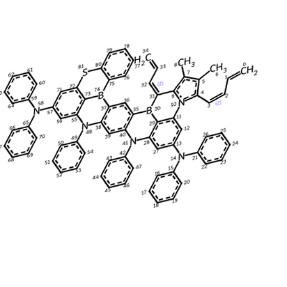 C=C/C=C\c1c(C)c(C)c2n1-c1cc(N(c3ccccc3)c3ccccc3)cc3c1B(/C2=C/C=C)c1cc2c(cc1N3c1ccccc1)N(c1ccccc1)c1cc(N(c3ccccc3)c3ccccc3)cc3c1B2c1ccccc1S3